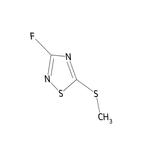 CSc1nc(F)ns1